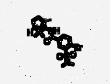 CN(C)S(=O)(=O)c1cc(C(=O)NC2C(C)(C)[C@@H]3CC[C@]2(C)C3)ccc1Br